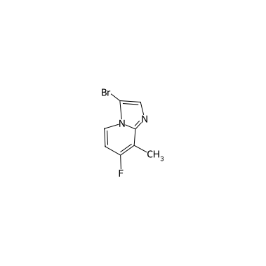 Cc1c(F)ccn2c(Br)cnc12